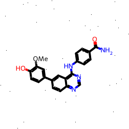 COc1cc(-c2ccc3ncnc(Nc4ccc(C(N)=O)cc4)c3c2)ccc1O